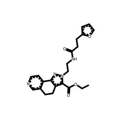 CCOC(=O)c1c2c(nn1CCNC(=O)CCc1ccco1)-c1ccncc1CC2